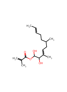 C=C(C)C(=O)OC(O)C(O)C(C)=CCC(C)CCC=CC